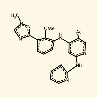 COc1c(Nc2cc(Nc3ccccn3)ncc2C(C)=O)cccc1-c1ncn(C)n1